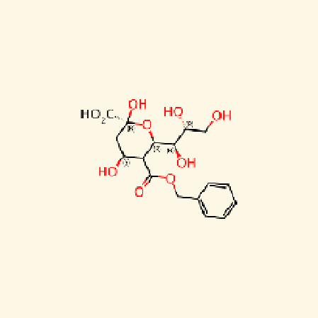 O=C(OCc1ccccc1)C1[C@H]([C@H](O)[C@H](O)CO)O[C@@](O)(C(=O)O)C[C@@H]1O